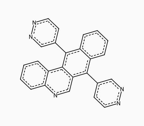 c1ccc2c(c1)ncc1c(-c3ccnnc3)c3ccccc3c(-c3ccnnc3)c12